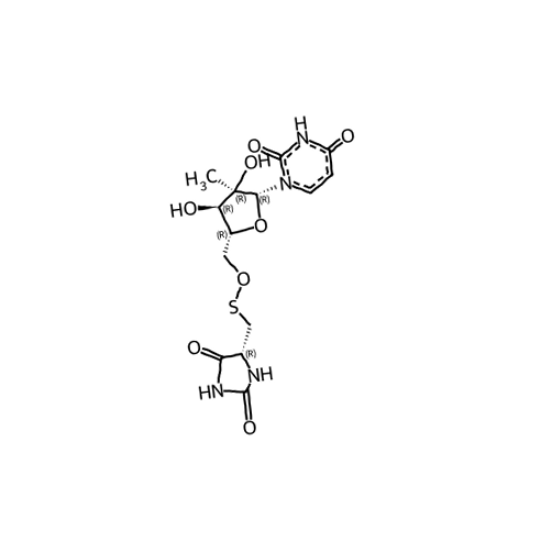 C[C@@]1(O)[C@H](O)[C@@H](COSC[C@@H]2NC(=O)NC2=O)O[C@H]1n1ccc(=O)[nH]c1=O